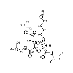 CCC(C)OC(=O)C([O])(OC(OCC(=O)OC(C)(C)C)C(=O)OCC(C)C)C(=O)OCCCCOC